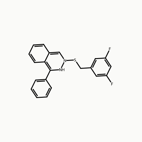 Fc1cc(F)cc(CSN2C=c3ccccc3=C(c3ccccc3)N2)c1